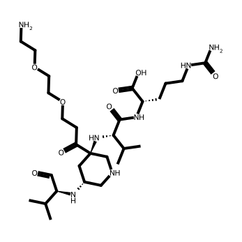 CC(C)[C@H](N[C@@]1(C(=O)CCOCCOCCN)CNC[C@H](N[C@H](C=O)C(C)C)C1)C(=O)N[C@@H](CCCNC(N)=O)C(=O)O